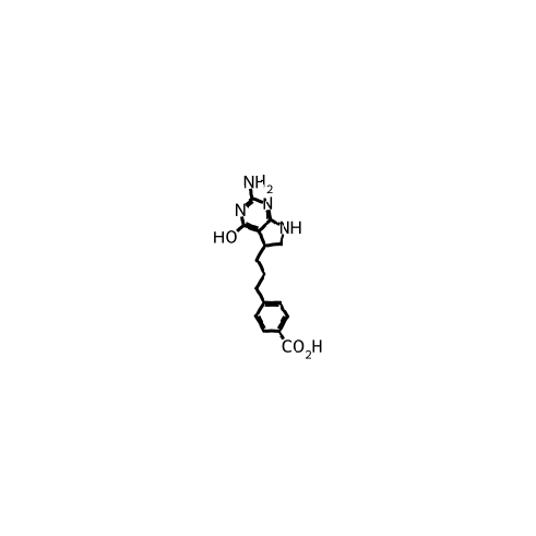 Nc1nc(O)c2c(n1)NCC2CCCc1ccc(C(=O)O)cc1